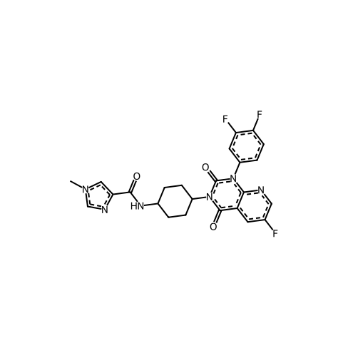 Cn1cnc(C(=O)NC2CCC(n3c(=O)c4cc(F)cnc4n(-c4ccc(F)c(F)c4)c3=O)CC2)c1